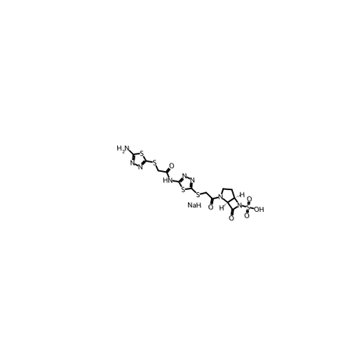 Nc1nnc(SCC(=O)Nc2nnc(SCC(=O)N3CC[C@@H]4[C@H]3C(=O)N4S(=O)(=O)O)s2)s1.[NaH]